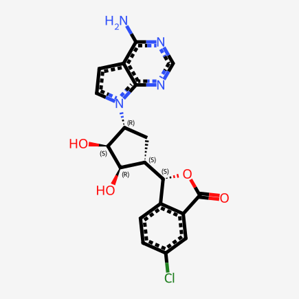 Nc1ncnc2c1ccn2[C@@H]1C[C@H]([C@@H]2OC(=O)c3cc(Cl)ccc32)[C@@H](O)[C@H]1O